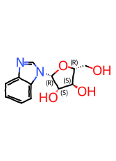 OC[C@H]1O[C@@H](n2cnc3ccccc32)[C@@H](O)[C@@H]1O